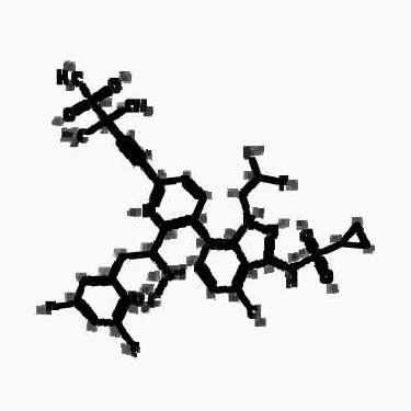 CC(C)(C#Cc1ccc(-c2ccc(Cl)c3c(NS(=O)(=O)C4CC4)nn(CC(F)F)c23)c(C(Cc2cc(F)cc(F)c2)NC(=O)O)n1)S(C)(=O)=O